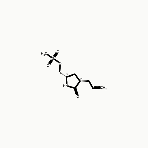 C=CC[C@@H]1C[C@@H](COS(C)(=O)=O)NC1=O